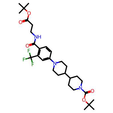 CC(C)(C)OC(=O)CCNC(=O)c1ccc(N2CCC(C3CCN(C(=O)OC(C)(C)C)CC3)CC2)cc1C(F)(F)F